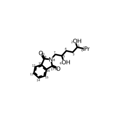 CC(C)C(O)CCC(O)CN1C(=O)c2ccccc2C1=O